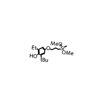 CCc1cc(OCCC[Si](C)(OC)OC)cc(C(C)(C)C)c1O